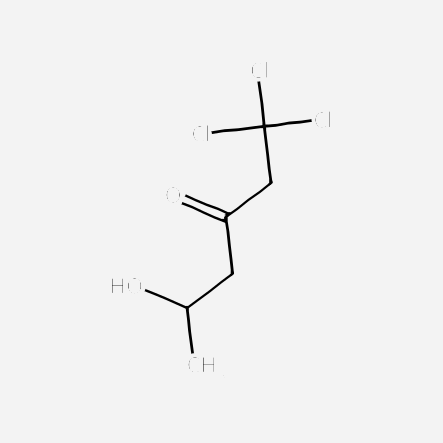 CC(O)CC(=O)CC(Cl)(Cl)Cl